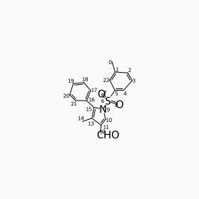 Cc1cccc(S(=O)(=O)n2cc(C=O)c(C)c2-c2ccccc2)c1